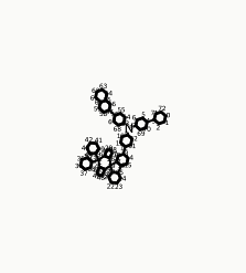 c1ccc(-c2ccc(N(c3ccc(-c4ccc5c(c4)C4(c6ccccc6-5)c5ccccc5C(c5ccccc5)(c5ccccc5)c5ccccc54)cc3)c3ccc(-c4ccc5ccccc5c4)cc3)cc2)cc1